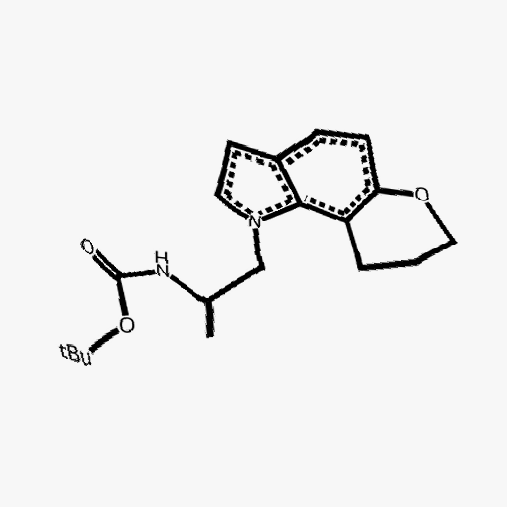 CC(Cn1ccc2ccc3c(c21)CCCO3)NC(=O)OC(C)(C)C